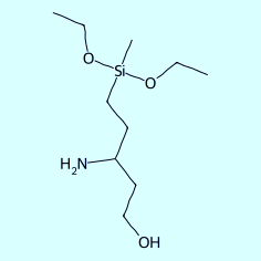 CCO[Si](C)(CCC(N)CCO)OCC